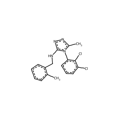 Cc1ccccc1CNc1nnc(C)n1-c1cccc(Cl)c1Cl